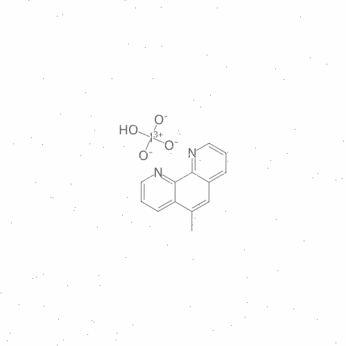 Cc1cc2cccnc2c2ncccc12.[O-][I+3]([O-])([O-])O